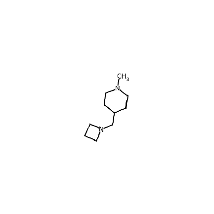 CN1CCC(CN2CCC2)CC1